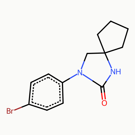 O=C1NC2(CCCC2)CN1c1ccc(Br)cc1